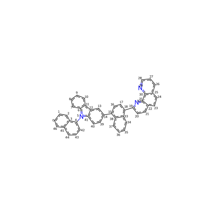 c1ccc2c(-n3c4ccccc4c4cc(-c5ccc(-c6ccc7ccc8cccnc8c7n6)c6ccccc56)ccc43)cccc2c1